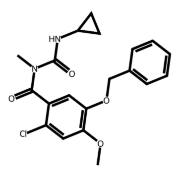 COc1cc(Cl)c(C(=O)N(C)C(=O)NC2CC2)cc1OCc1ccccc1